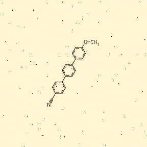 COc1ccc(-c2ccc(-c3ccc(C#N)cc3)cc2)cc1